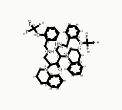 O=C(C(CNCc1ccccc1OC(F)(F)F)N1CCCc2ccccc21)C(CNCc1ccccc1OC(F)(F)F)N1CCCc2ccccc21